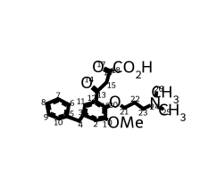 COc1cc(Cc2ccccc2)cc(C(=O)CC(=O)C(=O)O)c1OCCCN(C)C